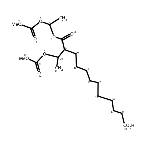 COC(=O)OC(C)OC(=O)C(CCCCCCCCCC(=O)O)C(C)OC(=O)OC